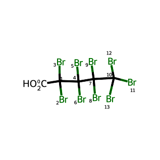 O=C(O)C(Br)(Br)C(Br)(Br)C(Br)(Br)C(Br)(Br)Br